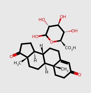 C[C@]12CCC(=O)C=C1CC[C@@H]1[C@@H]2CC[C@]2(C)C(=O)CC[C@@H]12.O=C(O)[C@H]1OC(O)[C@H](O)[C@@H](O)[C@@H]1O